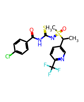 CC(c1ccc(C(F)(F)F)nc1)S(C)(=O)=NC(=S)NC(=O)c1ccc(Cl)cc1